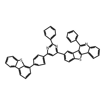 c1ccc(-c2nc(-c3ccc(-c4cccc5c4sc4ccccc45)cc3)cc(-c3ccc4sc5c6ccccc6nc(-c6ccccc6)c5c4c3)n2)cc1